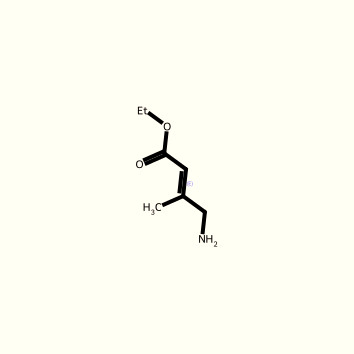 CCOC(=O)/C=C(\C)CN